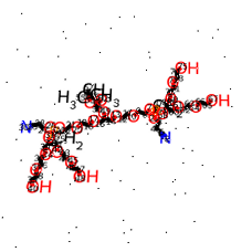 C=P(OCCC#N)(OCCOCCOCC(COCCOCCOP(=C)(OCCC#N)OC(COCCOCCO)COCCOCCO)OCC(=O)OC(C)(C)C)OC(COCCOCCO)COCCOCCO